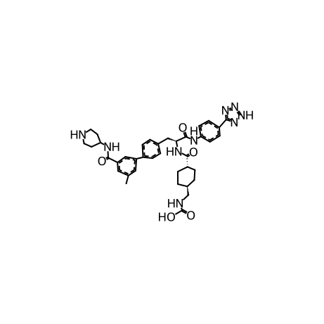 Cc1cc(C(=O)NC2CCNCC2)cc(-c2ccc(C[C@H](NC(=O)[C@H]3CC[C@H](CNC(=O)O)CC3)C(=O)Nc3ccc(-c4nn[nH]n4)cc3)cc2)c1